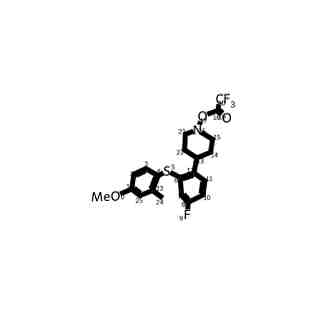 COc1ccc(Sc2cc(F)ccc2C2CCN(OC(=O)C(F)(F)F)CC2)c(C)c1